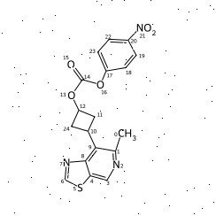 Cc1ncc2scnc2c1C1CC(OC(=O)Oc2ccc([N+](=O)[O-])cc2)C1